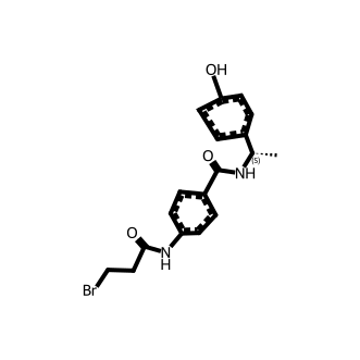 C[C@H](NC(=O)c1ccc(NC(=O)CCBr)cc1)c1ccc(O)cc1